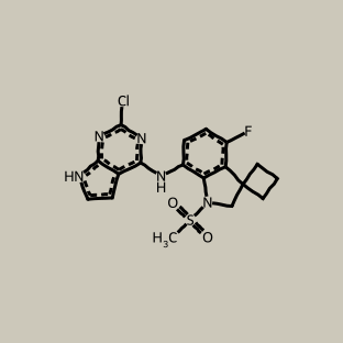 CS(=O)(=O)N1CC2(CCC2)c2c(F)ccc(Nc3nc(Cl)nc4[nH]ccc34)c21